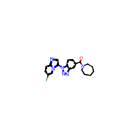 O=C(c1ccc2c(c1)nnn2-c1cnc2ccc(F)cn12)N1CCCCCC1